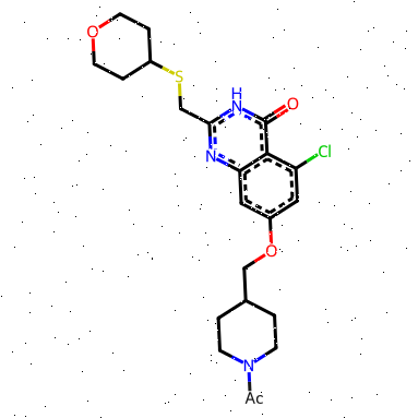 CC(=O)N1CCC(COc2cc(Cl)c3c(=O)[nH]c(CSC4CCOCC4)nc3c2)CC1